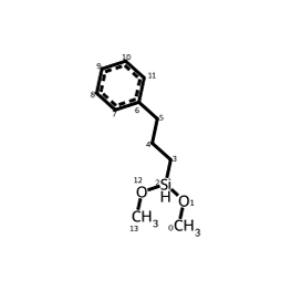 CO[SiH](CCCc1ccccc1)OC